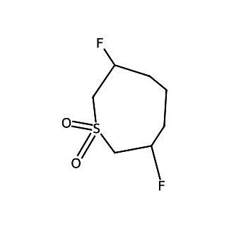 O=S1(=O)CC(F)CCCC(F)C1